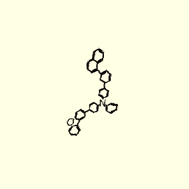 c1ccc(N(c2ccc(-c3cccc(-c4cccc5ccccc45)c3)cc2)c2ccc(-c3ccc4oc5ccccc5c4c3)cc2)cc1